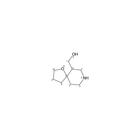 OCC1CNCCC12CCCO2